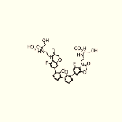 O=C(O)[C@H](CO)NCCN1C(=O)COc2cc(-c3cccc(-c4cccc(-c5cc(F)c6c(c5)OCC(=O)N6CCN[C@@H](CO)C(=O)O)c4Cl)c3Cl)cc(F)c21